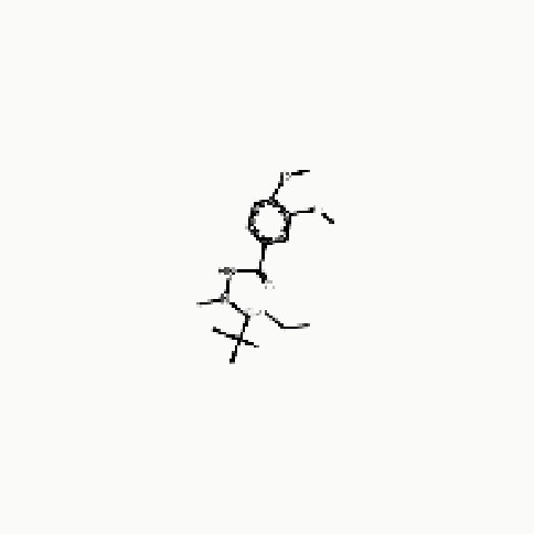 CCC[C@@H](N(C)NC(=O)c1ccc(OC)c(OC)c1)C(C)(C)C